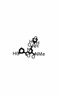 CNC(=O)c1cc(C(=O)NC2[C@H]3COC[C@@H]23)nc2c1OCC2c1cccc(O)c1